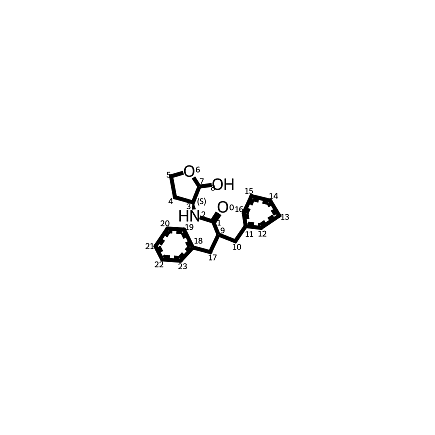 O=C(N[C@H]1CCOC1O)C(Cc1ccccc1)Cc1ccccc1